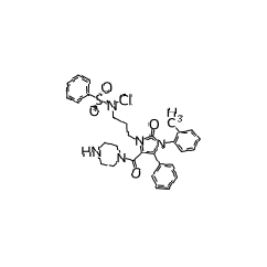 Cc1ccccc1-n1c(-c2ccccc2)c(C(=O)N2CCNCC2)n(CCCN(Cl)S(=O)(=O)c2ccccc2)c1=O